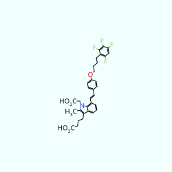 Cc1c(CCCC(=O)O)c2cccc(/C=C/c3ccc(OCCCCc4c(F)cc(F)c(F)c4F)cc3)c2n1CC(=O)O